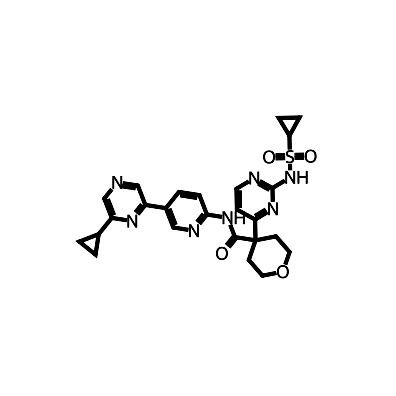 O=C(Nc1ccc(-c2cncc(C3CC3)n2)cn1)C1(c2ccnc(NS(=O)(=O)C3CC3)n2)CCOCC1